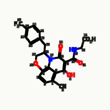 N#Cc1ccc2c3c1c(O)c(C(=O)NCC(=O)O)c(=O)n3C(Cc1ccc(C(F)(F)F)cc1)CO2